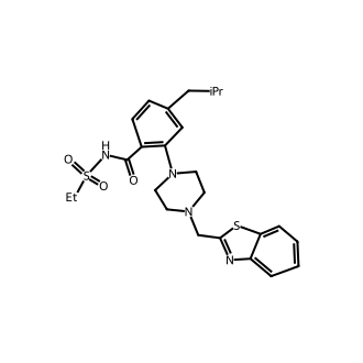 CCS(=O)(=O)NC(=O)c1ccc(CC(C)C)cc1N1CCN(Cc2nc3ccccc3s2)CC1